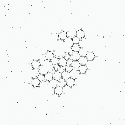 c1ccc(N(c2ccc3c(c2)c2ccccc2n3-c2ccccc2)c2cc3c(c4ccccc24)-c2c(cc(N(c4ccccc4)c4ccc5c(c4)c4ccccc4n5-c4ccccc4)c4ccccc24)C32c3ccccc3-n3c4ccccc4c4cccc2c43)cc1